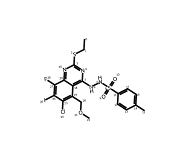 CCSc1nc(NNS(=O)(=O)c2ccc(C)cc2)c2c(COC)c(Cl)c(I)c(F)c2n1